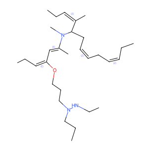 CC/C=C\C/C=C\CC(/C(C)=C\CC)N(C)/C(C)=C/C(=C\CC)OCCCN(CCC)NCC